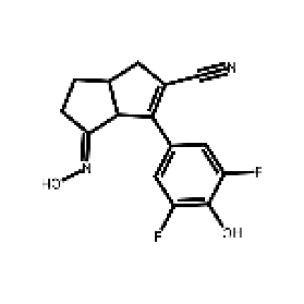 N#CC1=C(c2cc(F)c(O)c(F)c2)C2C(=NO)CCC2C1